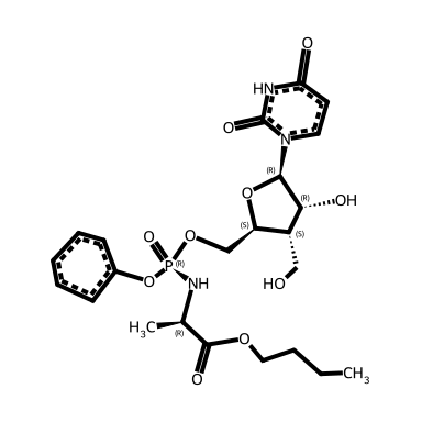 CCCCOC(=O)[C@@H](C)N[P@@](=O)(OC[C@H]1O[C@@H](n2ccc(=O)[nH]c2=O)[C@H](O)[C@@H]1CO)Oc1ccccc1